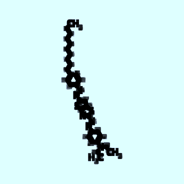 CCCCCCCCCCc1ccc(N=Nc2cc3sc(N=Nc4ccc(N(CC)CC)cc4)nc3s2)cc1